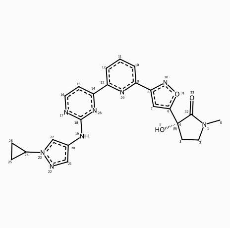 CN1CC[C@@](O)(c2cc(-c3cccc(-c4ccnc(Nc5cnn(C6CC6)c5)n4)n3)no2)C1=O